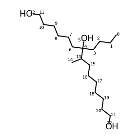 CCCCC(O)(CCCCCCO)C(C)CCCCCCCO